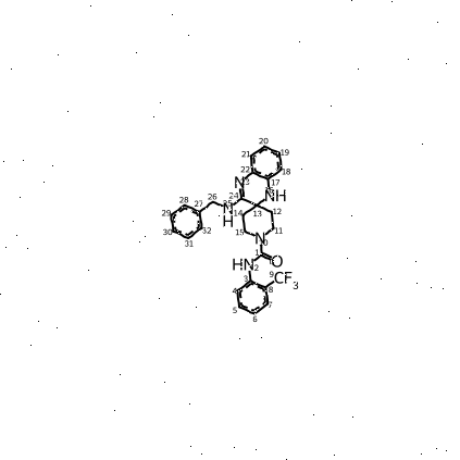 O=C(Nc1ccccc1C(F)(F)F)N1CCC2(CC1)Nc1ccccc1N=C2NCc1ccccc1